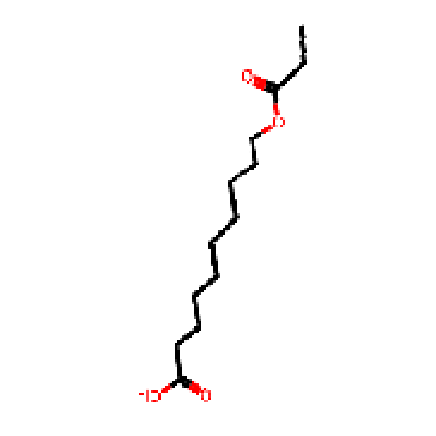 CCC(=O)OCCCCCCCCCC(=O)O